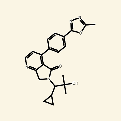 Cc1nnc(-c2ccc(-c3ccnc4c3C(=O)N(C(C3CC3)C(C)(C)O)C4)cc2)o1